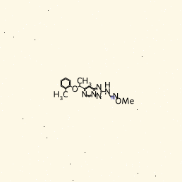 CO/N=C/Nc1nc2cc(C(C)Oc3ccccc3C)ncn2n1